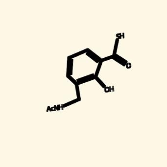 CC(=O)NCc1cccc(C(=O)S)c1O